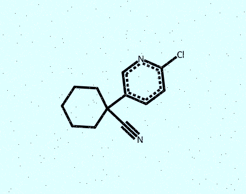 N#CC1(c2ccc(Cl)nc2)CCCCC1